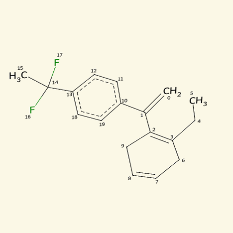 C=C(C1=C(CC)CC=CC1)c1ccc(C(C)(F)F)cc1